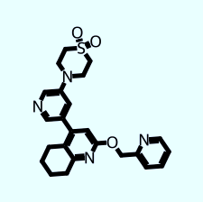 O=S1(=O)CCN(c2cncc(-c3cc(OCc4ccccn4)nc4c3CCCC4)c2)CC1